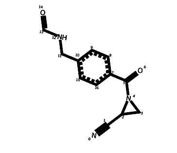 N#CC1CN1C(=O)c1ccc(CNC=O)cc1